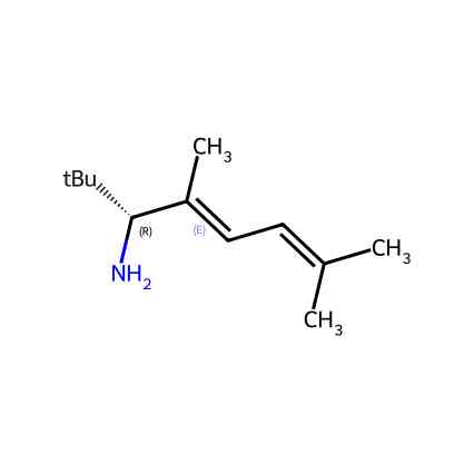 CC(C)=C/C=C(\C)[C@H](N)C(C)(C)C